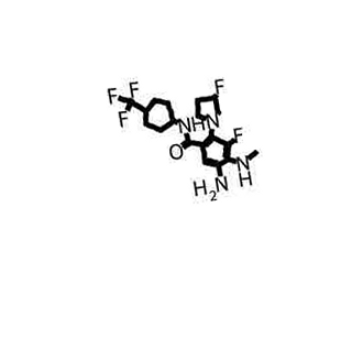 CNc1c(N)cc(C(=O)NC2CCC(C(F)(F)F)CC2)c(N2CCC(F)C2)c1F